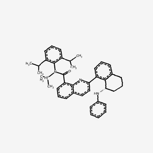 CC(C)c1cccc(C(C)C)c1[N](C(=O)c1cccc2ccc(-c3cccc4c3[C@@H](Nc3ccccc3)CCC4)nc12)[Hf]([CH3])[CH3]